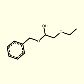 CCOCC(O)OCc1ccccc1